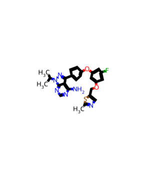 Cc1ncc(COc2cc(F)cc(Oc3ccc(-c4nn(C(C)C)c5ncnc(N)c45)cc3)c2)s1